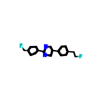 FCCc1ccc(-c2cnc(-c3ccc(CF)cc3)nc2)cc1